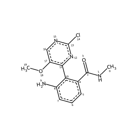 CNC(=O)c1cccc(N)c1-c1nc(Cl)ncc1OC